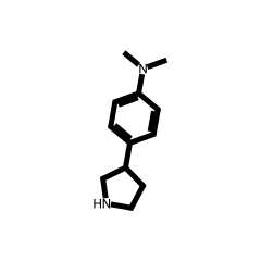 CN(C)c1ccc(C2CCNC2)cc1